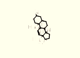 CC(=O)[C@H]1CC[C@H]2[C@@H]3CCC4CC(O)CC[C@]4(C)[C@H]3C=C[C@]12C